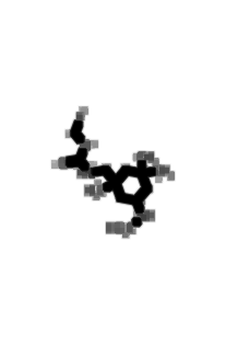 CC1(C)CC(NC(=O)O)CC(C)(CNC(=O)OCF)C1